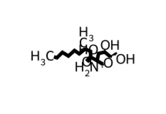 CCCCCCC(C)CC(=O)[C@]1(N)[CH]O[C@H](CO)[C@@H](O)[C@@H]1O